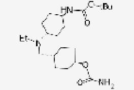 CCN(C[C@H]1CC[C@H](OC(N)=O)CC1)[C@H]1CC[C@H](NC(=O)OC(C)(C)C)CC1